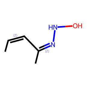 C/C=C\C(C)=N/NO